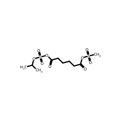 CC(C)OS(=O)(=O)OC(=O)CCCCC(=O)OS(C)(=O)=O